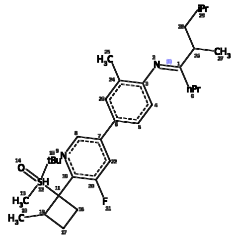 CCC/C(=N\c1ccc(-c2cnc(C3([SH](C)(=O)C(C)(C)C)CCC3C)c(F)c2)cc1C)C(C)CC(C)C